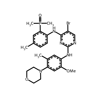 COc1cc(N2CCOCC2)c(C)cc1Nc1ncc(Br)c(Nc2ccc(C)cc2P(C)(C)=O)n1